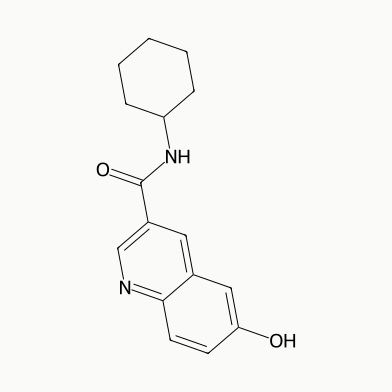 O=C(NC1CCCCC1)c1cnc2ccc(O)cc2c1